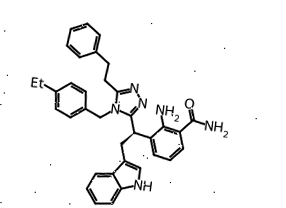 CCc1ccc(Cn2c(CCc3ccccc3)nnc2[C@H](Cc2c[nH]c3ccccc23)c2cccc(C(N)=O)c2N)cc1